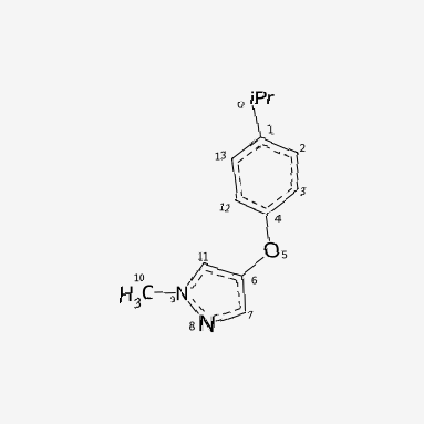 CC(C)c1ccc(Oc2cnn(C)c2)cc1